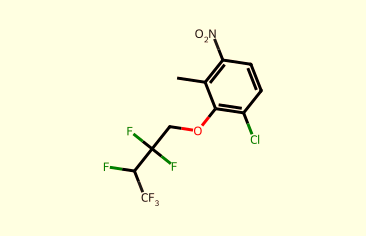 Cc1c([N+](=O)[O-])ccc(Cl)c1OCC(F)(F)C(F)C(F)(F)F